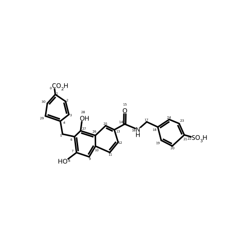 O=C(O)c1ccc(Cc2c(O)cc3ccc(C(=O)NCc4ccc(S(=O)(=O)O)cc4)cc3c2O)cc1